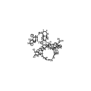 CCc1nc2cccc(F)c2nc1O[C@@H]1C[C@H]2C(=O)N[C@]3(C(=O)NS(=O)(=O)C4CC4)C[C@H]3/C=C\CCCCC[C@H](N3C=C(C)C(C)O3)C(=O)N2C1.NC(=O)c1ccon1